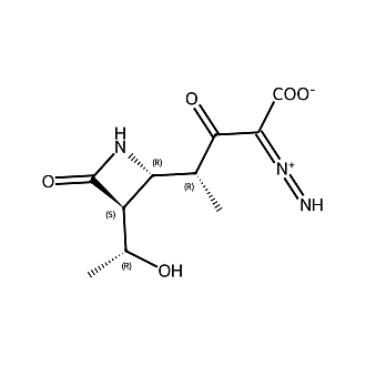 C[C@@H](O)[C@H]1C(=O)N[C@@H]1[C@@H](C)C(=O)C(=[N+]=N)C(=O)[O-]